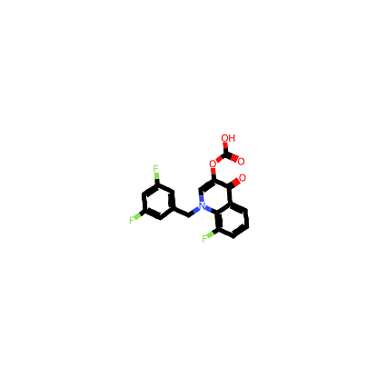 O=C(O)Oc1cn(Cc2cc(F)cc(F)c2)c2c(F)cccc2c1=O